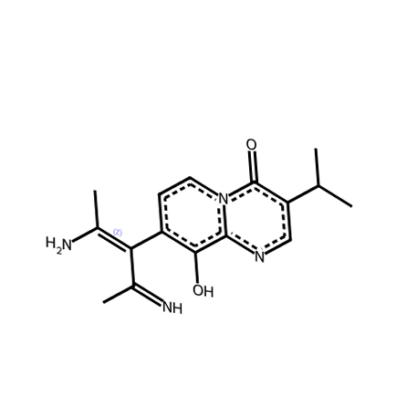 CC(=N)/C(=C(/C)N)c1ccn2c(=O)c(C(C)C)cnc2c1O